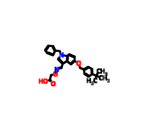 CC(C)(C)c1ccc(COc2ccc3c(c2)c(C=NOCC(=O)O)cn3Cc2ccccc2)cc1